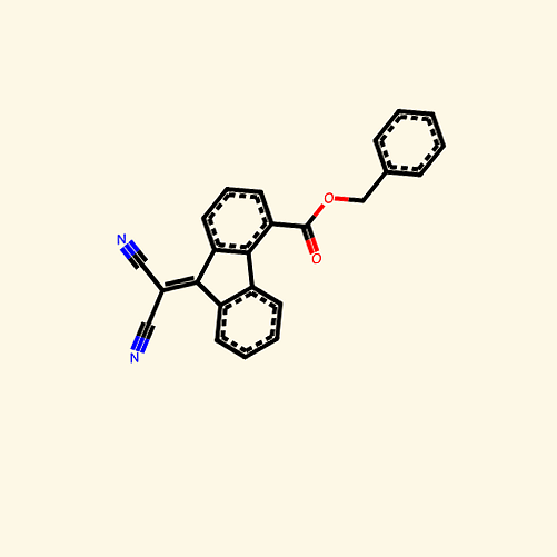 N#CC(C#N)=C1c2ccccc2-c2c(C(=O)OCc3ccccc3)cccc21